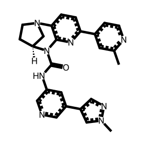 Cc1cc(-c2ccc3c(n2)N(C(=O)Nc2cncc(-c4cnn(C)c4)c2)[C@H]2CCN3C2)ccn1